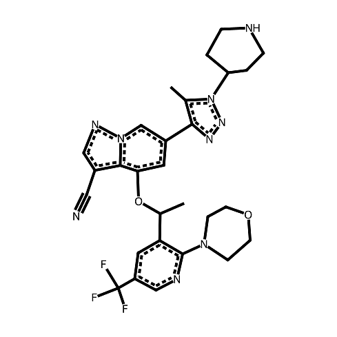 Cc1c(-c2cc(OC(C)c3cc(C(F)(F)F)cnc3N3CCOCC3)c3c(C#N)cnn3c2)nnn1C1CCNCC1